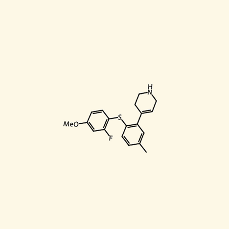 COc1ccc(Sc2ccc(C)cc2C2=CCNCC2)c(F)c1